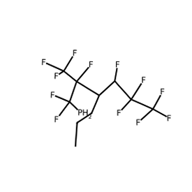 CCCC(C(F)C(F)(F)C(F)(F)F)C(F)(C(F)(F)F)C(F)(F)P